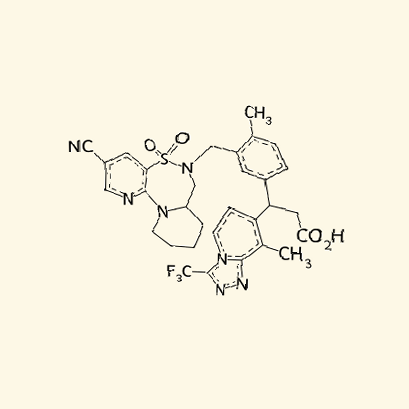 Cc1ccc(C(CC(=O)O)c2ccn3c(C(F)(F)F)nnc3c2C)cc1CN1CC2CCCCN2c2ncc(C#N)cc2S1(=O)=O